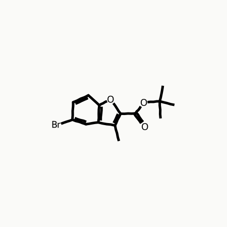 Cc1c(C(=O)OC(C)(C)C)oc2ccc(Br)cc12